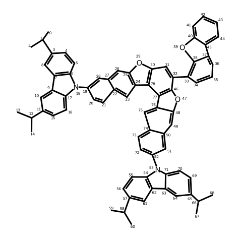 CC(C)c1ccc2c(c1)c1cc(C(C)C)ccc1n2-c1ccc2cc3c(cc2c1)oc1cc(-c2cccc4c2oc2ccccc24)c2oc4cc5cc(-n6c7ccc(C(C)C)cc7c7cc(C(C)C)ccc76)ccc5cc4c2c13